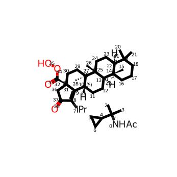 CC(=O)NC(C)(C)C1CC1.CC(C)C1=C2[C@H]3CC[C@@H]4[C@@]5(C)CCCC(C)(C)[C@@H]5CC[C@@]4(C)[C@]3(C)CC[C@@]2(C(=O)OO)CC1=O